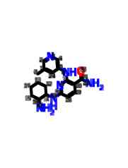 Cc1cncc(Nc2nc(NC3CCCC[C@@H]3N)ccc2C(N)=O)c1